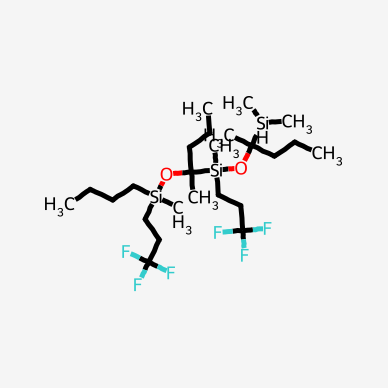 CCCC[Si](C)(CCC(F)(F)F)OC(C)(CCC)[Si](C)(CCC(F)(F)F)OC(C)(CCC)[SiH](C)C